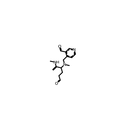 C=C(NC)C(CCC=O)N(C)Cc1ccncc1C=O